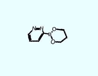 c1cnnc(B2OCCCO2)c1